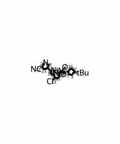 CC(C)(C)c1ccc(S(=O)(=O)Nc2ccc(Cl)c3cc(-c4cncc(C#N)c4)nn23)cc1